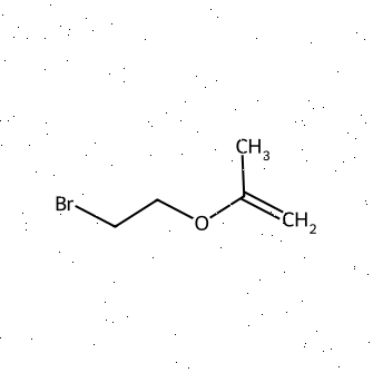 C=C(C)OCCBr